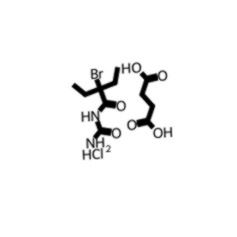 CCC(Br)(CC)C(=O)NC(N)=O.Cl.O=C(O)CCC(=O)O